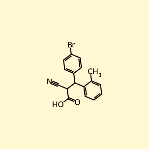 Cc1ccccc1C(c1ccc(Br)cc1)C(C#N)C(=O)O